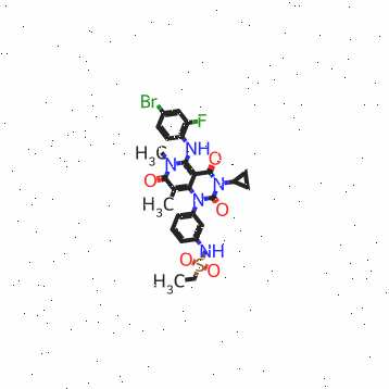 CCS(=O)(=O)Nc1cccc(-n2c(=O)n(C3CC3)c(=O)c3c(Nc4ccc(Br)cc4F)n(C)c(=O)c(C)c32)c1